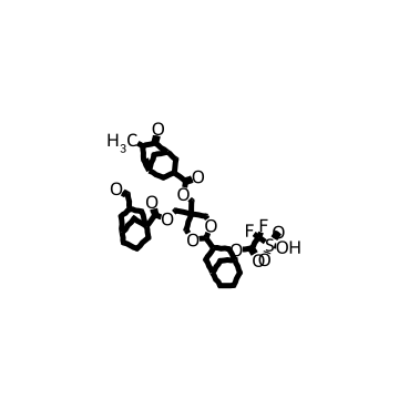 CC1C=C2CC(C(=O)OCC3(COC(=O)C45CCCC(CC(C=O)C4)C5)COC(C4CC5CCCC(OC(=O)C(F)(F)S(=O)(=O)O)(C5)C4)OC3)CC(C2)C1=O